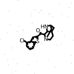 O=C(c1cc2c(Cl)cccc2s1)C1C2NC3CC2CCN1C3